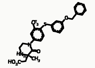 C[C@@]1(CC(=O)O)NCCN(c2ccc(Sc3cccc(OCc4ccccc4)c3)c(C(F)(F)F)c2)C1=O